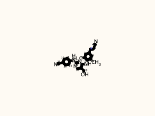 Cc1cc(/C=C/C#N)cc(C)c1Nc1nc(Nc2ccc(C#N)cc2)ncc1CO